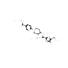 CCc1[nH]c(C(=O)N[C@@H]2CCN(c3ccc(C(=O)OC)cn3)C[C@@H]2OC)nc1Cl